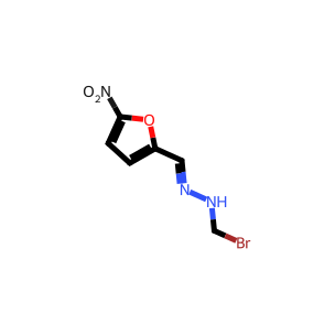 O=[N+]([O-])c1ccc(C=NNCBr)o1